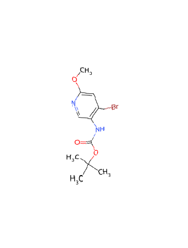 COc1cc(Br)c(NC(=O)OC(C)(C)C)cn1